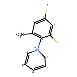 O=[N+]([O-])c1cc(F)cc(F)c1N1C=CC=CC1